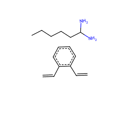 C=Cc1ccccc1C=C.CCCCCC(N)N